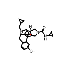 O=C(NC1CC1)N1C[C@H]2CC34CCC1C2C31CCN(CC2CC2)C4Cc2ccc(O)cc21